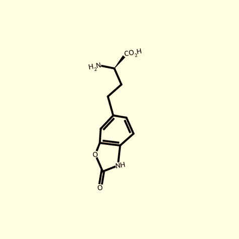 N[C@H](CCc1ccc2[nH]c(=O)oc2c1)C(=O)O